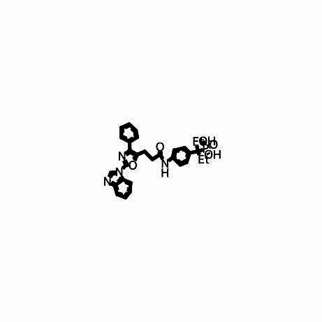 CCC(CC)(c1ccc(NC(=O)CCc2oc(-n3cnc4ccccc43)nc2-c2ccccc2)cc1)P(=O)(O)O